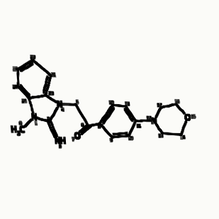 Cn1c(=N)n(CC(=O)c2ccc(N3CCOCC3)cc2)c2ccccc21